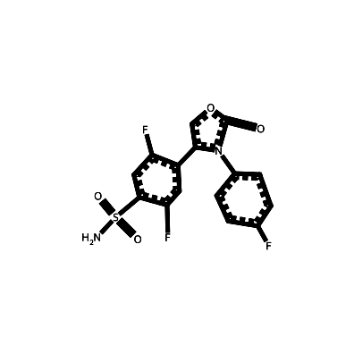 NS(=O)(=O)c1cc(F)c(-c2coc(=O)n2-c2ccc(F)cc2)cc1F